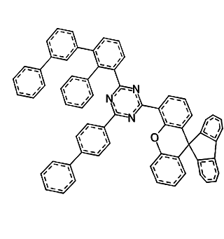 c1ccc(-c2ccc(-c3nc(-c4cccc5c4Oc4ccccc4C54c5ccccc5-c5ccccc54)nc(-c4cccc(-c5cccc(-c6ccccc6)c5)c4-c4ccccc4)n3)cc2)cc1